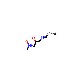 CCCCCCNCC(O)C[NH+](C)[O-]